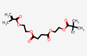 C=C(C)C(=O)OCCOC(=O)CCC(=O)OCCOC(=O)C(C)(C)CC